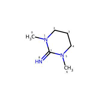 CN1CCCN(C)C1=N